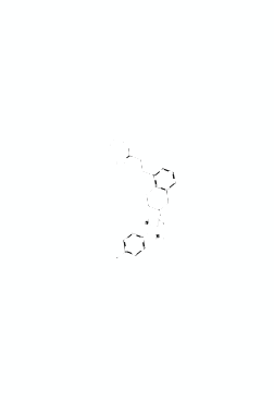 COC(=O)CCc1cccc2c1CCC(NS(=O)(=O)c1ccc(Cl)cc1)C2